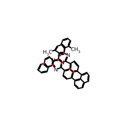 Cc1ccccc1-c1nc(-c2ccccc2)nc(-c2ccc(-c3cccc4cccc(-c5ccc(-c6nc(-c7ccccc7)nc(-c7ccccc7C)n6)cc5)c34)cc2)n1